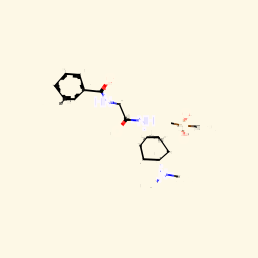 CC(C)(C)N(C(=O)O)[C@@H]1CC[C@H](NC(=O)CNC(=O)c2cccc(C(F)(F)F)c2)[C@H](CS(=O)(=O)C(C)(C)C)C1